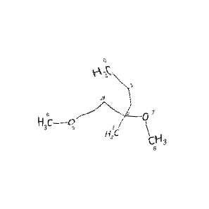 CCC(C)(COC)OC